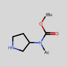 [CH2]C(=O)N(C(=O)OC(C)(C)C)C1CCNC1